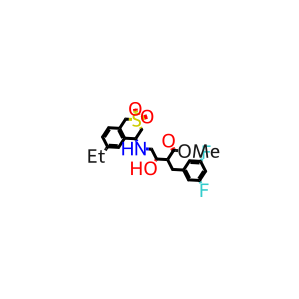 CCc1ccc2c(c1)C(NCC(O)C(Cc1cc(F)cc(F)c1)C(=O)OC)CS(=O)(=O)C2